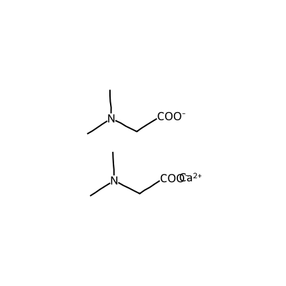 CN(C)CC(=O)[O-].CN(C)CC(=O)[O-].[Ca+2]